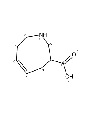 O=C(O)C1CC=CCCNC1